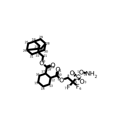 NOS(=O)(=O)C(F)(F)COC(=O)C1CCCCC1C(=O)OCC12CC3CC(CC(C3)C1)C2